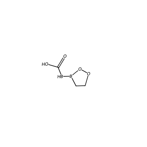 O=C(O)BB1CCOO1